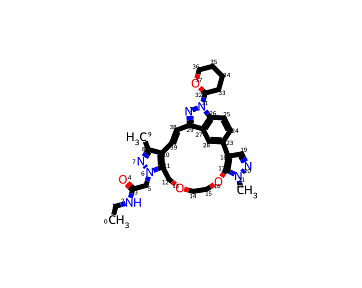 CCNC(=O)Cn1nc(C)c2c1COCCOc1c(cnn1C)-c1ccc3c(c1)c(nn3C1CCCCO1)/C=C/2